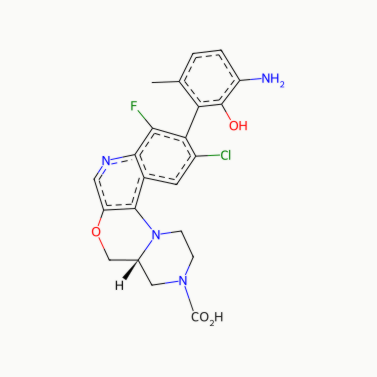 Cc1ccc(N)c(O)c1-c1c(Cl)cc2c3c(cnc2c1F)OC[C@H]1CN(C(=O)O)CCN31